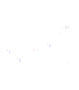 COc1ccc(Cl)cc1N(Cc1cccc(-c2cncnc2)c1)C(=O)O